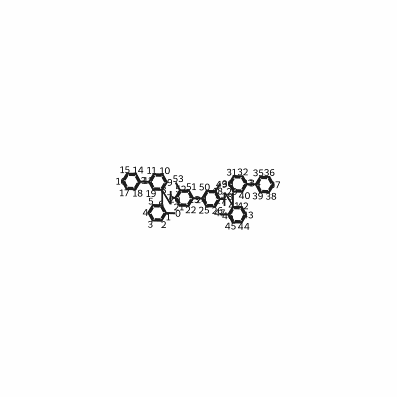 Cc1ccccc1N(c1cccc(-c2ccccc2)c1)c1ccc(-c2ccc(N(c3cccc(-c4ccccc4)c3)c3ccccc3C)c(C)c2)cc1C